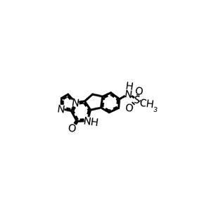 CS(=O)(=O)Nc1ccc2c(c1)Cc1c-2[nH]c(=O)c2nccn12